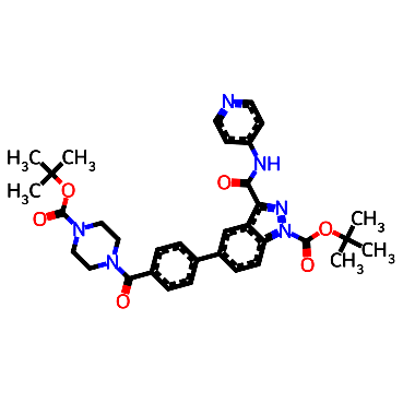 CC(C)(C)OC(=O)N1CCN(C(=O)c2ccc(-c3ccc4c(c3)c(C(=O)Nc3ccncc3)nn4C(=O)OC(C)(C)C)cc2)CC1